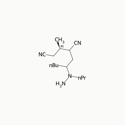 CCCCC(CC(C#N)[C@H](C)CC#N)N(N)CCC